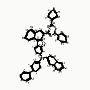 c1ccc(-c2ccc(N(c3ccc4ccccc4c3)c3ccc4c(c3)oc3c(-c5nc(-c6ccccc6)nc(-c6ccccc6)n5)cc5ccccc5c34)cc2)cc1